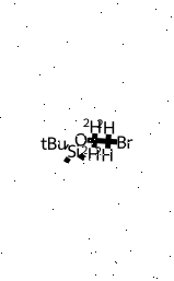 [2H]C([2H])(Br)C([2H])([2H])O[Si](C)(C)C(C)(C)C